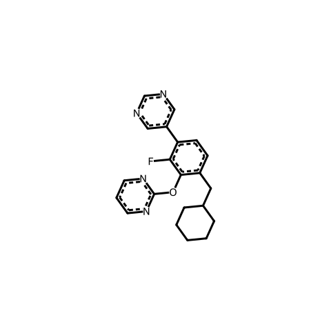 Fc1c(-c2cncnc2)ccc(CC2CCCCC2)c1Oc1ncccn1